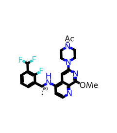 COc1nc(N2CCN(C(C)=O)CC2)cc2c(N[C@H](C)c3cccc(C(F)F)c3F)ccnc12